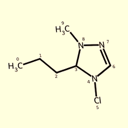 CCCC1N(Cl)C=NN1C